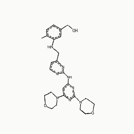 Cc1ccc(CO)cc1NCc1ccnc(Nc2cc(N3CCOCC3)nc(N3CCOCC3)n2)n1